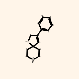 [c]1ccc(C2=CC3(CCNCC3)OC2)cc1